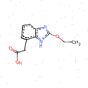 CCOc1nc2cccc(CC(=O)O)c2[nH]1